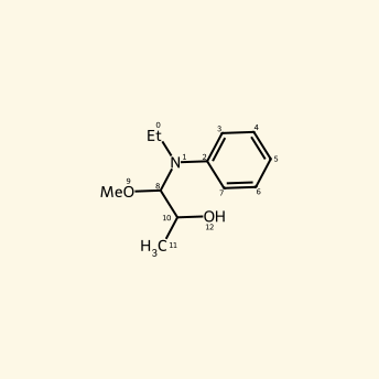 CCN(c1ccccc1)C(OC)C(C)O